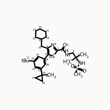 CC(C)(CNC(=O)c1nc(CC2CCCCC2)c(-c2cc(C(C)(C)C)cc(C3(C)CC3)c2)s1)NS(C)(=O)=O